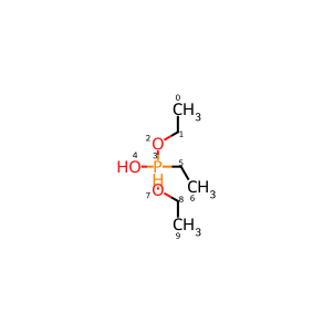 CCO[PH](O)(CC)OCC